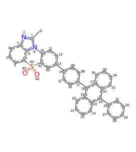 Cc1nc2cccc3c2n1-c1ccc(-c2ccc(-c4c5ccccc5c(-c5ccccc5)c5ccccc45)cc2)cc1S3(=O)=O